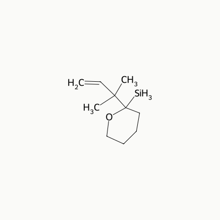 C=CC(C)(C)C1([SiH3])CCCCO1